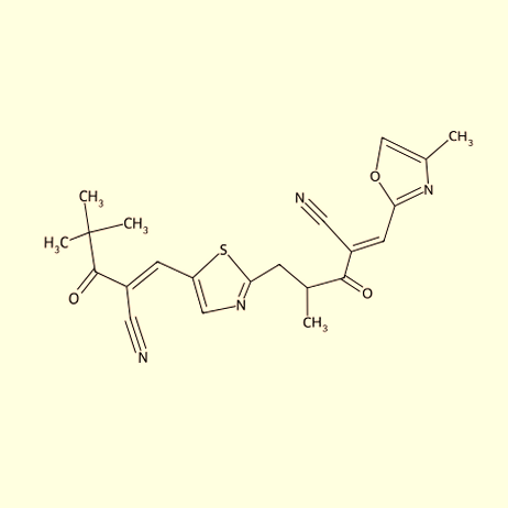 Cc1coc(/C=C(\C#N)C(=O)C(C)Cc2ncc(/C=C(\C#N)C(=O)C(C)(C)C)s2)n1